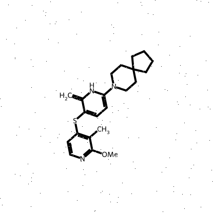 C=C1NC(N2CCC3(CCCC3)CC2)=CC=C1Sc1ccnc(OC)c1C